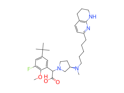 COc1c(F)cc(C(C)(C)C)cc1C(C(=O)O)N1CC[C@@H](N(C)CCCCCc2ccc3c(n2)NCCC3)C1